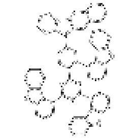 c1ccc2cc3c(cc2c1)c1ccccc1n3-c1ccc(-c2nc(-c3cccc4sc5ccccc5c34)nc(-c3cccc4sc5ccccc5c34)n2)c(-c2cccc3oc4ccccc4c23)c1